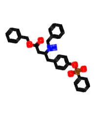 O=C(CC(Cc1ccc(OS(=O)(=O)c2ccccc2)cc1)NCc1ccccc1)OCc1ccccc1